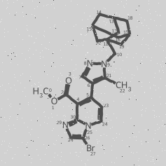 COC(=O)c1c(-c2cnn(CC34CC5CC(CC(C5)C3)C4)c2C)ccn2c(Br)cnc12